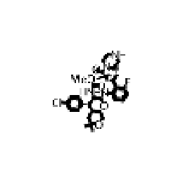 COC(=O)N[C@H](C(=O)Nc1cccc(F)c1CC[C@H]1CNCCN1S(C)(=O)=O)[C@@H](c1ccc(Cl)cc1)C1CCOC(C)(C)C1